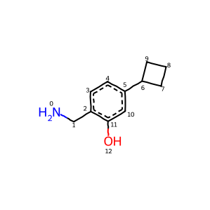 NCc1ccc(C2CCC2)cc1O